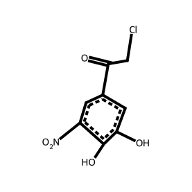 O=C(CCl)c1cc(O)c(O)c([N+](=O)[O-])c1